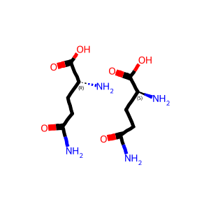 NC(=O)CC[C@@H](N)C(=O)O.NC(=O)CC[C@H](N)C(=O)O